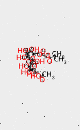 CC(=O)O.CC(C)C(=O)OCC(=O)OC[C@H]1O[C@H](O[C@]2(CO)O[C@H](CO)[C@@H](O)[C@@H]2O)[C@H](O)[C@@H](O)[C@@H]1O